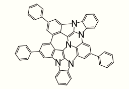 c1ccc(-c2cc3c4cc(-c5ccccc5)cc5c4c4c6n5c5ccccc5n6c5cc(-c6ccccc6)cc6c5n4c4c3c(c2)n2c3ccccc3n6c42)cc1